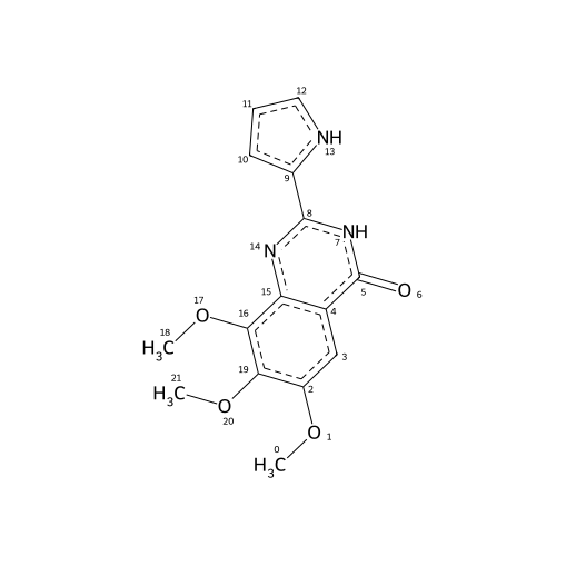 COc1cc2c(=O)[nH]c(-c3ccc[nH]3)nc2c(OC)c1OC